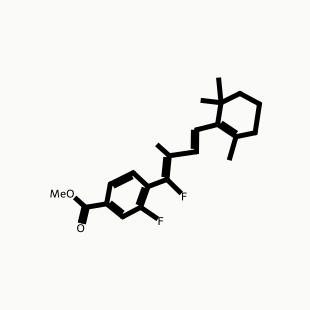 COC(=O)c1ccc(/C(F)=C(C)/C=C/C2=C(C)CCCC2(C)C)c(F)c1